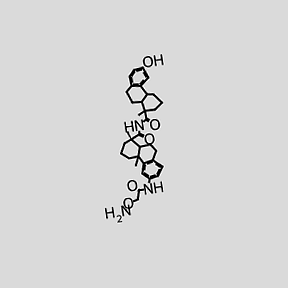 CC1(C(=O)NC(=O)[C@@]2(C)CCCC3(C)c4cc(NC(=O)CON)ccc4CCC32)CCCC2c3cc(O)ccc3CCC21